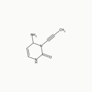 CC#CN1C(=O)NC=CC1N